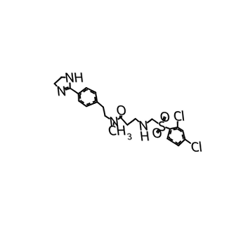 CN(CCc1ccc(C2=NCCN2)cc1)C(=O)CCNCS(=O)(=O)c1ccc(Cl)cc1Cl